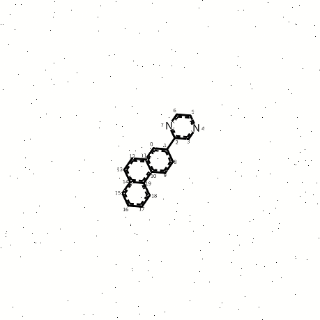 [c]1c(-c2cnccn2)ccc2c1ccc1ccccc12